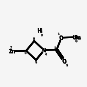 CC(C)(C)OC(=O)N1C[CH]([Zn])C1.I